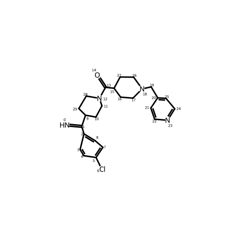 N=C(c1ccc(Cl)cc1)C1CCN(C(=O)C2CCN(Cc3ccncc3)CC2)CC1